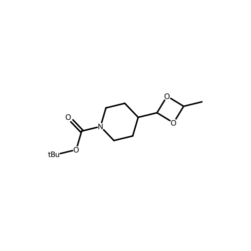 CC1OC(C2CCN(C(=O)OC(C)(C)C)CC2)O1